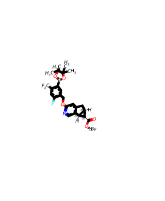 CC(C)(C)OC(=O)[C@H]1[C@@H]2Cc3cc(OCc4cc(B5OC(C)(C)C(C)(C)O5)c(C(F)(F)F)cc4F)ncc3[C@@H]21